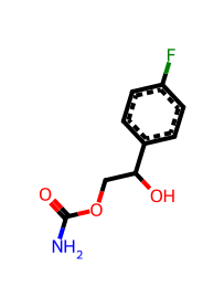 NC(=O)OCC(O)c1ccc(F)cc1